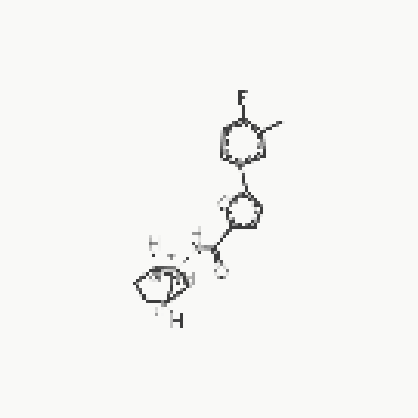 Cc1cc(-c2ccc(C(=O)N[C@@H]3C[C@H]4CC[C@@H]3N4)o2)ccc1F